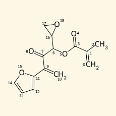 C=C(C)C(=O)OC(C(=O)C(=C)c1ccco1)C1CO1